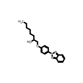 CCCCCCC(O)COc1ccc(-n2nc3ccccc3n2)cc1